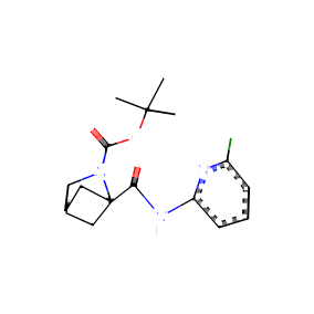 CC(C)(C)OC(=O)N1CC2CC1(C(=O)Nc1cccc(Br)n1)C2